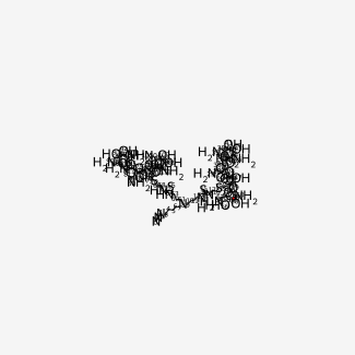 [N-]=[N+]=NCCCCCN(CCCCNC(=S)NCCSC[C@H]1OC(O[C@@H]2C(O)[C@H](N)CC(N)[C@H]2O[C@H]2OC(CN)[C@@H](O)[C@H](O)C2N)[C@@H](O)[C@H]1O[C@H]1OC(CN)C(O)[C@@H](O)[C@H]1N)CCCNC(=S)NCCSC[C@H]1OC(O[C@@H]2C(O)[C@H](N)CC(N)[C@H]2O[C@H]2OC(CN)[C@@H](O)[C@H](O)C2N)[C@@H](O)[C@H]1O[C@H]1OC(CN)C(O)[C@@H](O)[C@H]1N